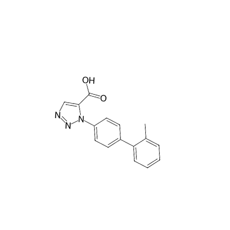 Cc1ccccc1-c1ccc(-n2nncc2C(=O)O)cc1